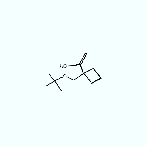 C=C(O)C1(COC(C)(C)C)CCC1